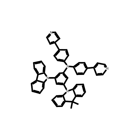 CC1(C)c2ccccc2N(c2cc(N(c3ccc(-c4ccncc4)cc3)c3ccc(-c4ccncc4)cc3)cc(-n3c4ccccc4c4ccccc43)c2)c2ccccc21